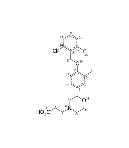 Cc1cc(C2CN(CCC(=O)O)CCO2)ccc1OCc1c(Cl)cccc1Cl